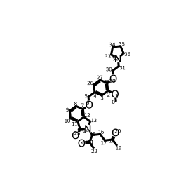 COc1cc(COc2cccc3c2CN(C(CCC(C)=O)C(C)=O)C3=O)ccc1OCCN1CCCC1